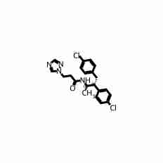 C[C@@H](NC(=O)CCn1cncn1)[C@H](Cc1ccc(Cl)cc1)c1ccc(Cl)cc1